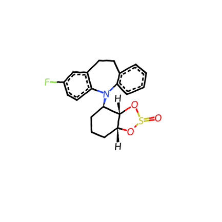 O=S1O[C@H]2[C@H](N3c4ccccc4CCc4cc(F)ccc43)CCC[C@H]2O1